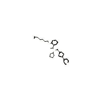 [2H]C(c1ccccc1OCCCCCC(=O)O)N(C(=O)c1ccc(-c2ccncc2)cc1)C1CCCC1